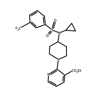 CCOC(=O)c1cccnc1N1CCC(N(C2CC2)S(=O)(=O)c2cccc(C(F)(F)F)c2)CC1